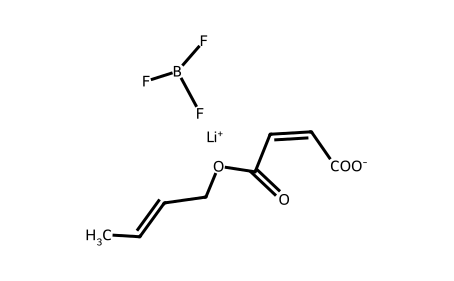 CC=CCOC(=O)/C=C\C(=O)[O-].FB(F)F.[Li+]